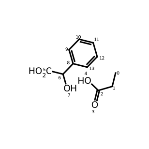 CCC(=O)O.O=C(O)C(O)c1ccccc1